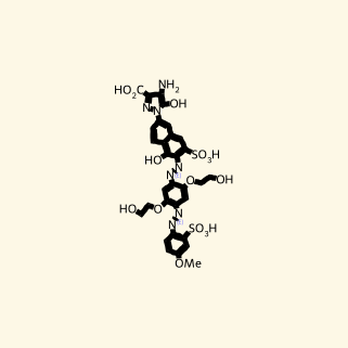 COc1ccc(/N=N/c2cc(OCCO)c(/N=N/c3c(S(=O)(=O)O)cc4cc(-n5nc(C(=O)O)c(N)c5O)ccc4c3O)cc2OCCO)c(S(=O)(=O)O)c1